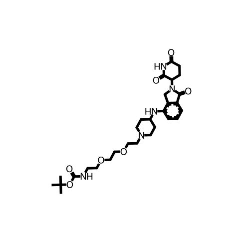 CC(C)(C)OC(=O)NCCOCCOCCN1CCC(Nc2cccc3c2CN(C2CCC(=O)NC2=O)C3=O)CC1